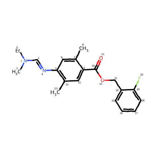 CCN(C)/C=N/c1cc(C)c(C(=O)OCc2ccccc2F)cc1C